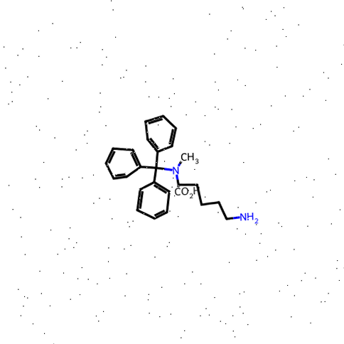 CN(C(CCCCN)C(=O)O)C(c1ccccc1)(c1ccccc1)c1ccccc1